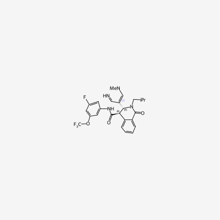 CN/C=C(\C=N)[C@H]1[C@H](C(=O)Nc2cc(F)cc(OC(F)(F)F)c2)c2ccccc2C(=O)N1CC(C)C